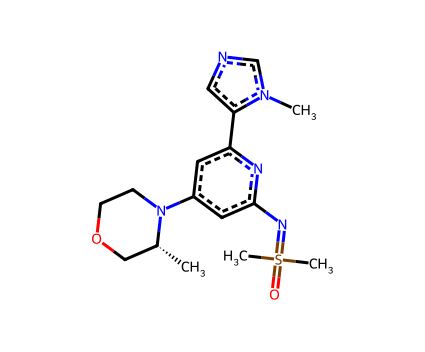 C[C@@H]1COCCN1c1cc(N=S(C)(C)=O)nc(-c2cncn2C)c1